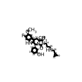 COc1cc2c3c([nH]c2cc1F)[C@@H](c1cccc(O)c1)N1C(=O)N(CCCNCC2CC2)C(=O)[C@]1(C)C3